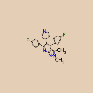 Cc1c2c(-c3ccc(F)cc3)c(-c3ccncc3)c(-c3ccc(F)cc3)nc2nn1C